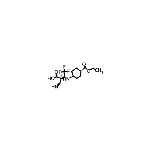 CCOC(=O)[C@H]1CC[C@@H](N/C(=C(\C=N)C(=O)O)C(F)(F)F)CC1